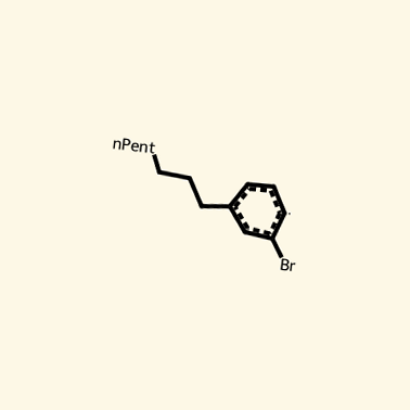 CCCCCCCCc1cc[c]c(Br)c1